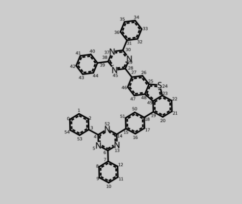 c1ccc(-c2nc(-c3ccccc3)nc(-c3ccc(-c4cccc5sc6cc(-c7nc(-c8ccccc8)nc(-c8ccccc8)n7)ccc6c45)cc3)n2)cc1